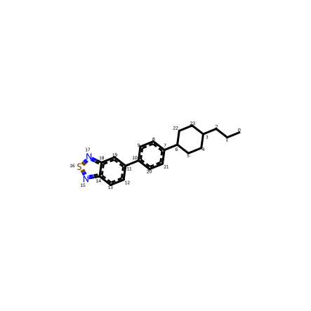 CCCC1CCC(c2ccc(-c3ccc4nsnc4c3)cc2)CC1